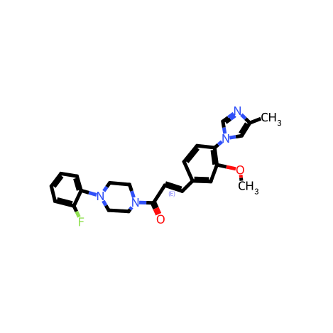 COc1cc(/C=C/C(=O)N2CCN(c3ccccc3F)CC2)ccc1-n1cnc(C)c1